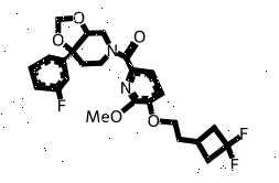 COc1nc(C(=O)N2CC[C@]3(c4cccc(F)c4)OCOC3C2)ccc1OCCC1CC(F)(F)C1